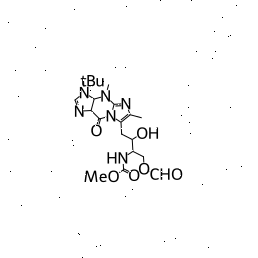 COC(=O)NC(COC=O)C(O)Cc1c(C)nc2n1C(=O)C1N=CN(C(C)(C)C)C1N2C